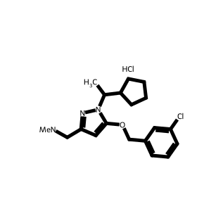 CNCc1cc(OCc2cccc(Cl)c2)n(C(C)C2CCCC2)n1.Cl